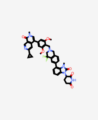 COc1cc(-c2cn(C)c(=O)c3cnc(C4CC4)cc23)cc(OC)c1CN1Cc2ccc(-c3cccc4c3n(C)c(=O)n4C3CCC(=O)NC3=O)cc2C(F)(F)C1